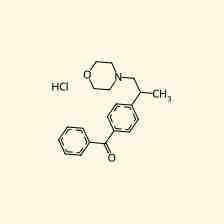 CC(CN1CCOCC1)c1ccc(C(=O)c2ccccc2)cc1.Cl